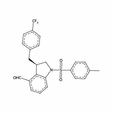 Cc1ccc(S(=O)(=O)N2C[C@H](Cc3ccc(C(F)(F)F)cc3)c3c(C=O)cccc32)cc1